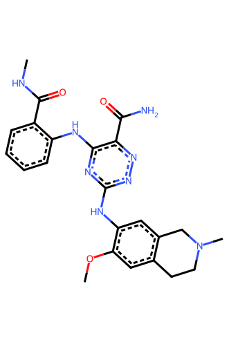 CNC(=O)c1ccccc1Nc1nc(Nc2cc3c(cc2OC)CCN(C)C3)nnc1C(N)=O